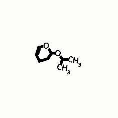 CC(C)OC1CCC=CO1